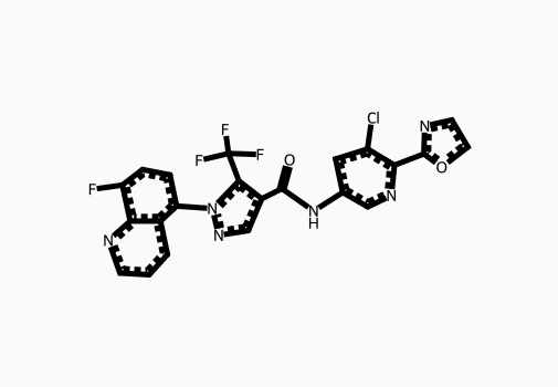 O=C(Nc1cnc(-c2ncco2)c(Cl)c1)c1cnn(-c2ccc(F)c3ncccc23)c1C(F)(F)F